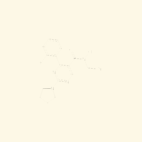 CC(C)CN(C)C(=O)c1cnc(N2CCCC2)nc1-c1ccccc1F